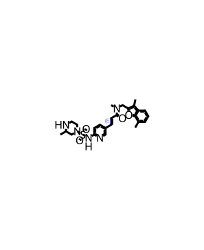 Cc1c(CN(C)C(=O)/C=C/c2ccc(NS(=O)(=O)N3CCNC(C)C3)nc2)oc2c(C)cccc12